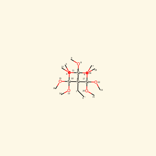 [CH2]C[Si]([Si](OC)(OC)OC)([Si](OC)(OC)OC)[Si](OC)(OC)OC